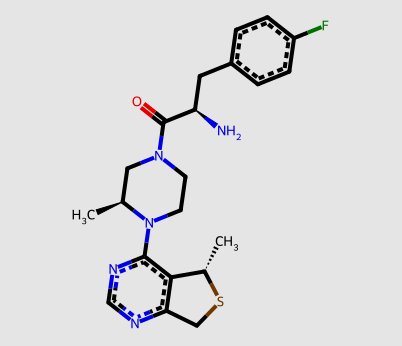 C[C@@H]1SCc2ncnc(N3CCN(C(=O)[C@H](N)Cc4ccc(F)cc4)C[C@@H]3C)c21